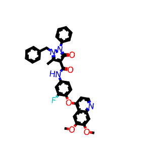 COc1cc2nccc(Oc3ccc(NC(=O)c4c(C)n(Cc5ccccc5)n(-c5ccccc5)c4=O)cc3F)c2cc1OC